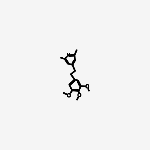 COc1cc(CCc2cc(C)nc(C)c2)cc(OC)c1OC